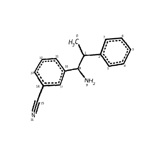 CC(c1ccccc1)C(N)c1cccc(C#N)c1